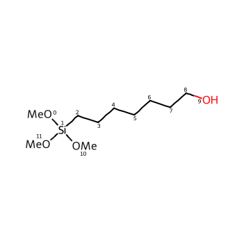 CO[Si](CCCCCCCO)(OC)OC